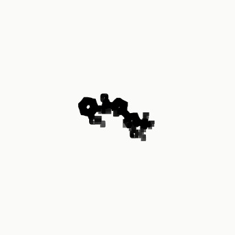 Cc1ccccc1NC(=O)c1ccc(-c2cc(C(F)(F)F)n(C)n2)s1